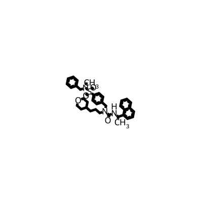 CC(NC(=O)N(CCCC1CCOCC1)Cc1ccc(S(=O)(=O)N(C)Cc2ccccc2)cc1)c1cccc2ccccc12